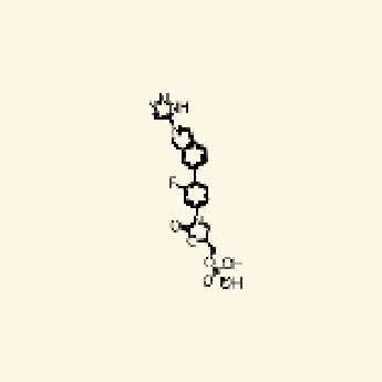 O=C1OC(COP(=O)(O)O)CN1c1ccc(-c2ccc3c(c2)CN(c2cnn[nH]2)C3)c(F)c1